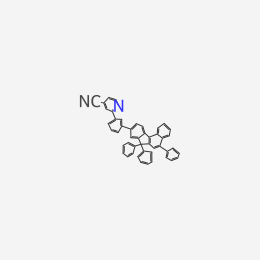 N#Cc1ccnc(-c2cccc(-c3ccc4c(c3)C(c3ccccc3)(c3ccccc3)c3cc(-c5ccccc5)c5ccccc5c3-4)c2)c1